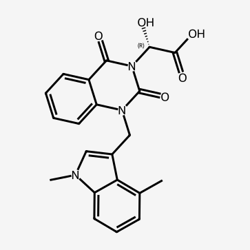 Cc1cccc2c1c(Cn1c(=O)n([C@H](O)C(=O)O)c(=O)c3ccccc31)cn2C